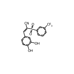 N#CC(=Cc1ccc(O)c(O)c1)S(=O)(=O)c1cccc(C(F)(F)F)c1